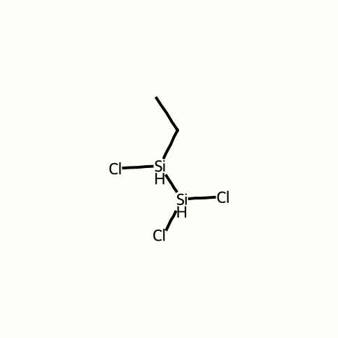 CC[SiH](Cl)[SiH](Cl)Cl